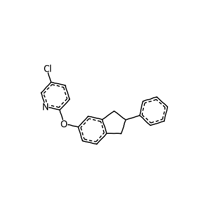 Clc1ccc(Oc2ccc3c(c2)CC(c2ccccc2)C3)nc1